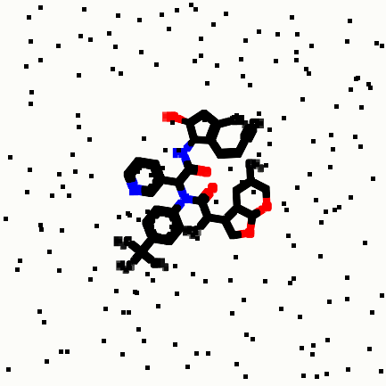 C#C/C=C\C1=C(C)C[C@H](O)[C@@H]1NC(=O)C(c1cccnc1)N(C(=O)C(C)C1COC2OCC(C)CC21)c1ccc(C(C)(C)C)cc1